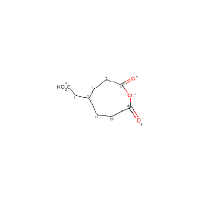 O=C(O)CC1CCC(=O)OC(=O)CC1